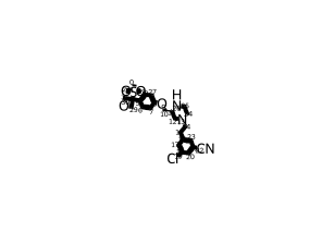 CS(=O)(=O)C1(c2ccc(OC[C@@H]3CN(CCc4cc(Cl)cc(C#N)c4)CCN3)cc2)COC1